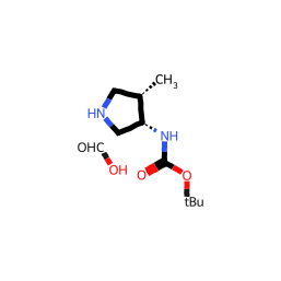 C[C@H]1CNC[C@H]1NC(=O)OC(C)(C)C.O=CO